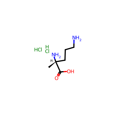 C[C@@](N)(CCCN)C(=O)O.Cl.Cl